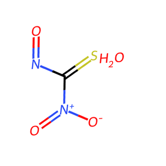 O.O=NC(=S)[N+](=O)[O-]